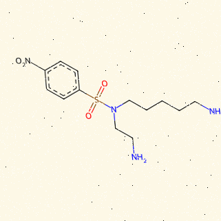 NCCCCCN(CCN)S(=O)(=O)c1ccc([N+](=O)[O-])cc1